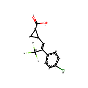 O=C(O)C1CC1C=C(c1ccc(Cl)cc1)C(F)(F)F